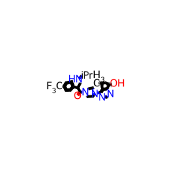 CC(C)NCC(C(=O)N1CCN(c2ncnc3c2[C@H](C)C[C@H]3O)CC1)c1ccc(C(F)(F)F)cc1